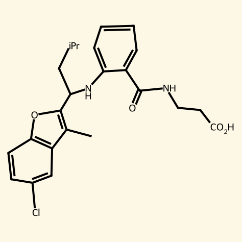 Cc1c(C(CC(C)C)Nc2ccccc2C(=O)NCCC(=O)O)oc2ccc(Cl)cc12